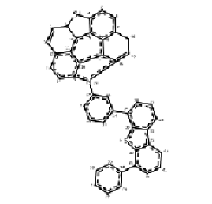 C1=CC2Sc3ccc4c5c3c2c2c1ccc1c2c5c(n1-c1cccc(-c2cccc3c2sc2c(-c5ccccc5)cccc23)c1)=CC4